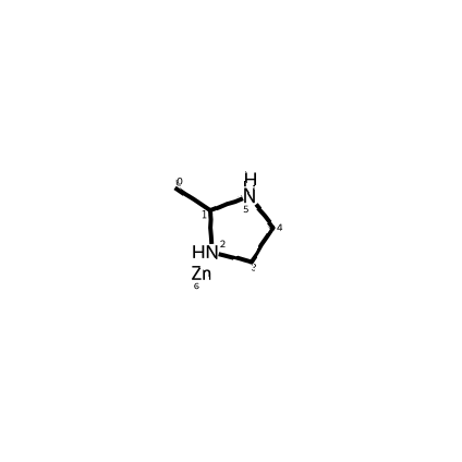 CC1NCCN1.[Zn]